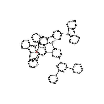 c1ccc(-c2nc(-c3ccccc3)nc(-c3ccc(-n4c5cc(-n6c7ccccc7c7ccccc76)ccc5c5ccc(-n6c7ccccc7c7ccccc76)cc54)c(-c4nc(-c5ccccc5)nc(-c5ccccc5)n4)c3)n2)cc1